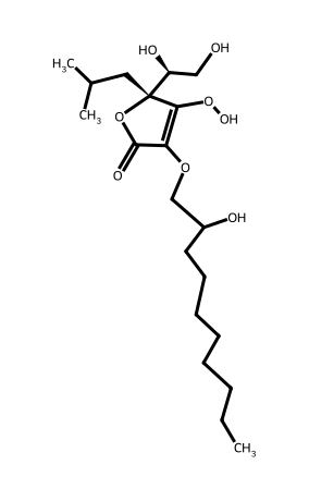 CCCCCCCCC(O)COC1=C(OO)[C@@](CC(C)C)([C@@H](O)CO)OC1=O